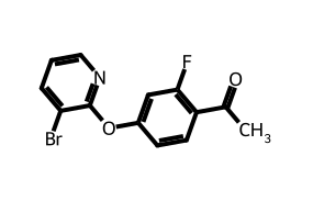 CC(=O)c1ccc(Oc2ncccc2Br)cc1F